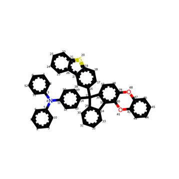 c1ccc(N(c2ccccc2)c2ccc(C3(c4ccc5sc6ccccc6c5c4)c4ccccc4-c4c3ccc3c4Oc4ccccc4O3)cc2)cc1